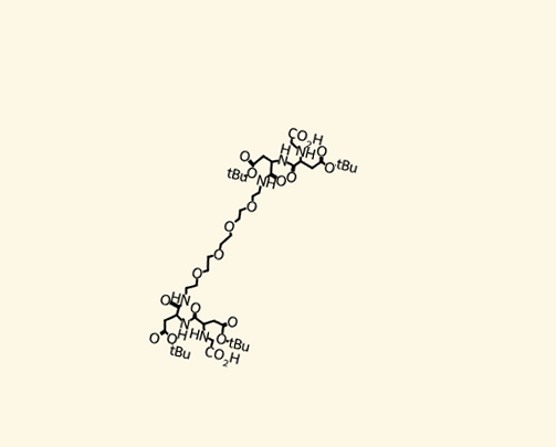 CC(C)(C)OC(=O)CC(NCC(=O)O)C(=O)NC(CC(=O)OC(C)(C)C)C(=O)NCCOCCOCCOCCOCCNC(=O)C(CC(=O)OC(C)(C)C)NC(=O)C(CC(=O)OC(C)(C)C)NCC(=O)O